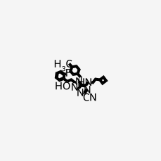 CC1CCC(Cn2c(CC(O)c3ccccc3F)nc3nc(C#N)nc(NCCC4CCC4)c32)CC1